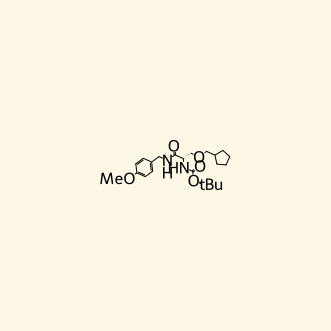 COc1ccc(CNC(=O)[C@H](COCC2CCCC2)NC(=O)OC(C)(C)C)cc1